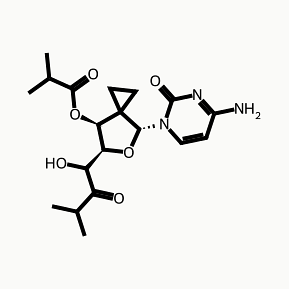 CC(C)C(=O)O[C@@H]1[C@H](C(O)C(=O)C(C)C)O[C@@H](n2ccc(N)nc2=O)C12CC2